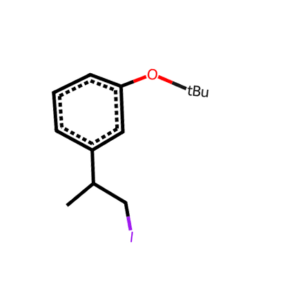 CC(CI)c1cccc(OC(C)(C)C)c1